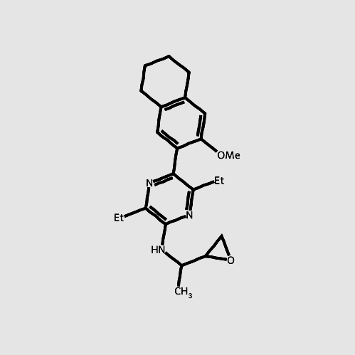 CCc1nc(-c2cc3c(cc2OC)CCCC3)c(CC)nc1NC(C)C1CO1